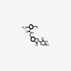 Nc1ccc(CI)cc1C(=O)NCc1ccc2c(c1)CN(C1CCC(=O)NC1=O)C2=O